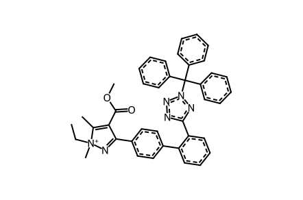 CC[N+]1(C)N=C(c2ccc(-c3ccccc3-c3nnn(C(c4ccccc4)(c4ccccc4)c4ccccc4)n3)cc2)C(C(=O)OC)=C1C